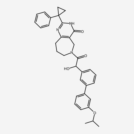 CC(C)Oc1cccc(-c2cccc(C(O)C(=O)N3CCCc4nc(C5(c6ccccc6)CC5)[nH]c(=O)c4C3)c2)c1